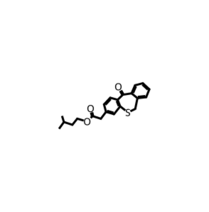 CC(C)CCOC(=O)Cc1ccc2c(c1)SCc1ccccc1C2=O